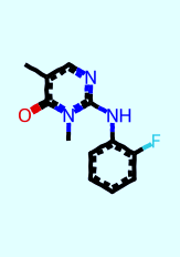 Cc1cnc(Nc2ccccc2F)n(C)c1=O